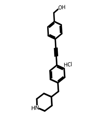 Cl.OCc1ccc(C#Cc2ccc(CC3CCNCC3)cc2)cc1